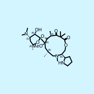 CO[C@]1(C)C[C@@H](C)CN(C)[C@H](C2CCCN2)COC(=O)C(C)(C)C(=O)[C@H](C)[C@H]1O[C@@H]1O[C@H](C)C[C@H](N(C)C)[C@H]1O